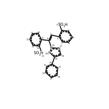 O=S(=O)(O)c1ccccc1C=C(c1ccccc1S(=O)(=O)O)n1ncc(-c2ccccc2)n1